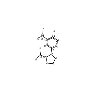 Cc1ccc(C2CCCN2C(C)C)cc1N(C)C